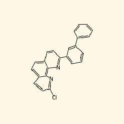 Clc1ccc2ccc3ccc(-c4cccc(-c5ccccc5)c4)nc3c2n1